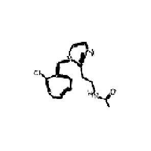 CC(=O)NCCc1nccn1Cc1ccccc1Cl